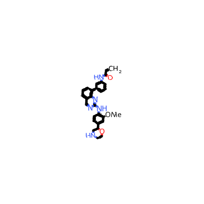 C=CC(=O)Nc1cccc(-c2cccc3cnc(Nc4ccc(C5CNCCO5)cc4OC)nc23)c1